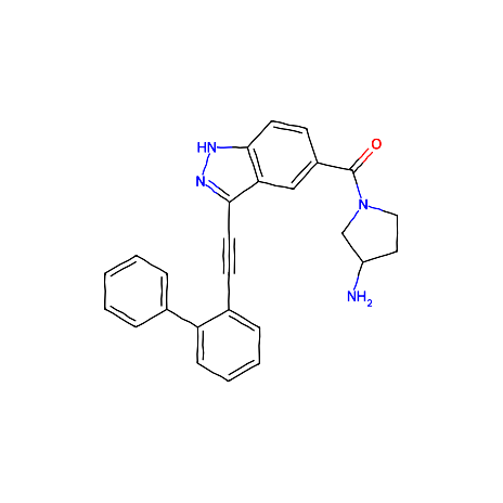 NC1CCN(C(=O)c2ccc3[nH]nc(C#Cc4ccccc4-c4ccccc4)c3c2)C1